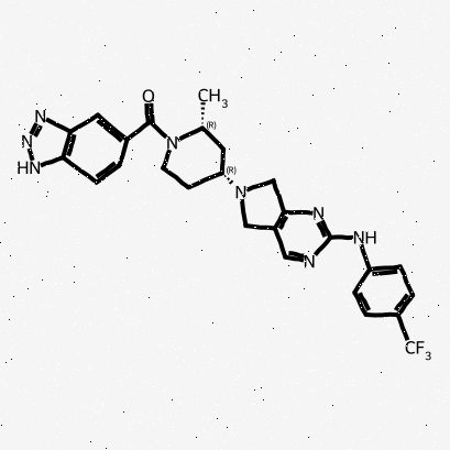 C[C@@H]1C[C@H](N2Cc3cnc(Nc4ccc(C(F)(F)F)cc4)nc3C2)CCN1C(=O)c1ccc2[nH]nnc2c1